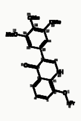 CCCOc1cccc2c(=O)c(-c3cc(OC)c(OC)c(OC)c3)c[nH]c12